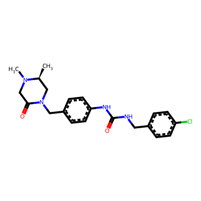 C[C@H]1CN(Cc2ccc(NC(=O)NCc3ccc(Cl)cc3)cc2)C(=O)CN1C